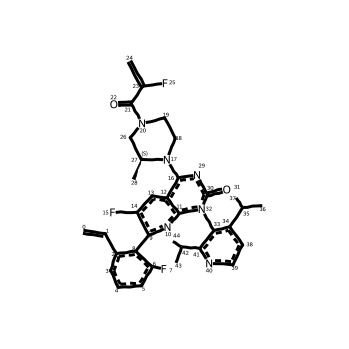 C=Cc1cccc(F)c1-c1nc2c(cc1F)c(N1CCN(C(=O)C(=C)F)C[C@@H]1C)nc(=O)n2-c1c(C(C)C)ccnc1C(C)C